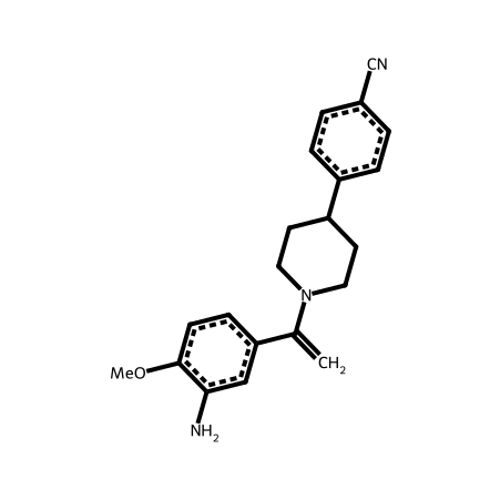 C=C(c1ccc(OC)c(N)c1)N1CCC(c2ccc(C#N)cc2)CC1